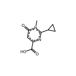 Cn1c(C2CC2)nc(C(=O)O)cc1=O